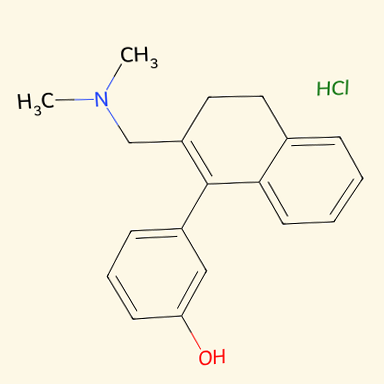 CN(C)CC1=C(c2cccc(O)c2)c2ccccc2CC1.Cl